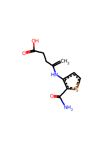 C=C(CCC(=O)O)Nc1ccsc1C(N)=O